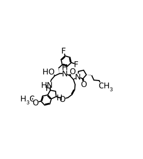 CCCC[C@H]1CCN([C@H]2C/C=C\CO[C@@H]3C[C@H](NC[C@@H](O)[C@H](Cc4cc(F)cc(F)c4)NC2=O)c2cc(OC)ccc23)C1=O